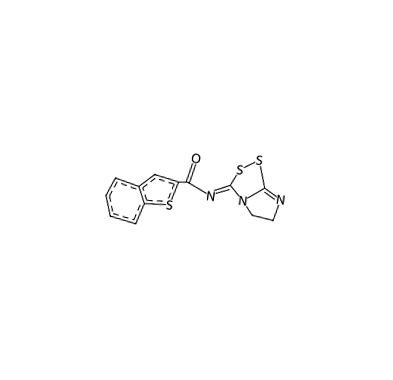 O=C(N=C1SSC2=NCCN21)c1cc2ccccc2s1